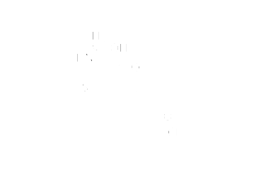 CNc1scc(-c2ccc(OC)cc2)c1C(=O)O